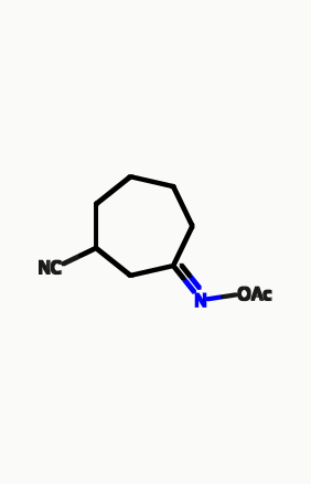 CC(=O)O/N=C1\CCCCC(C#N)C1